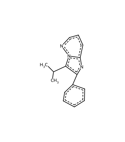 CC(C)c1c(-c2ccccc2)nc2cccnn12